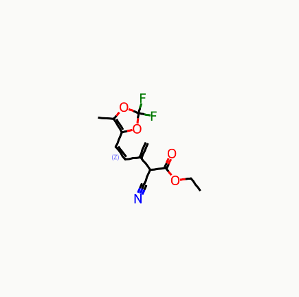 C=C(/C=C\C1=C(C)OC(F)(F)O1)C(C#N)C(=O)OCC